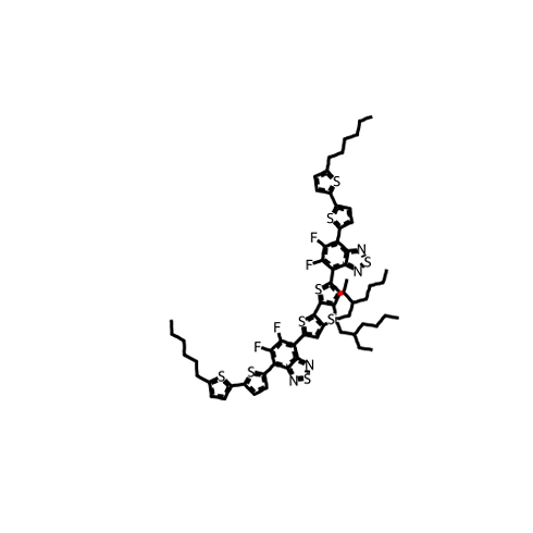 CCCCCCc1ccc(-c2ccc(-c3c(F)c(F)c(-c4cc5c(s4)-c4sc(-c6c(F)c(F)c(-c7ccc(-c8ccc(CCCCCC)s8)s7)c7nsnc67)cc4[Si]5(CC(CC)CCCC)CC(CC)CCCC)c4nsnc34)s2)s1